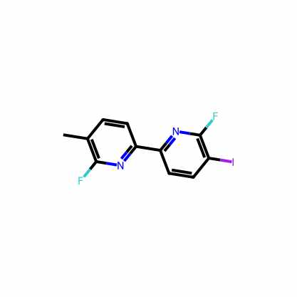 Cc1ccc(-c2ccc(I)c(F)n2)nc1F